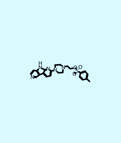 Cc1ccc(S(=O)(=O)OCCN2CCN(c3ccc4c(n3)[nH]c3ccncc34)CC2)cc1